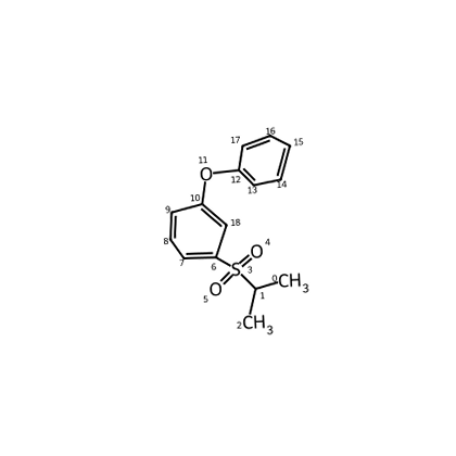 CC(C)S(=O)(=O)c1cccc(Oc2ccccc2)c1